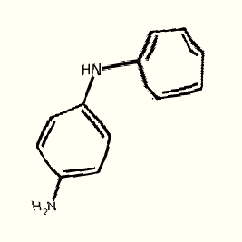 Nc1ccc(Nc2[c]cccc2)cc1